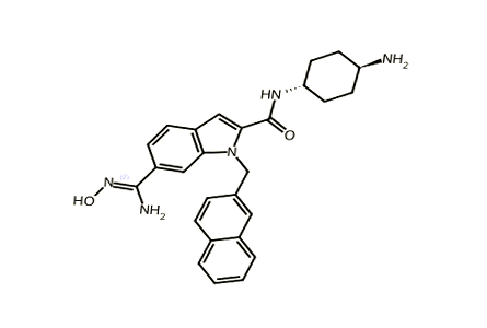 N/C(=N\O)c1ccc2cc(C(=O)N[C@H]3CC[C@H](N)CC3)n(Cc3ccc4ccccc4c3)c2c1